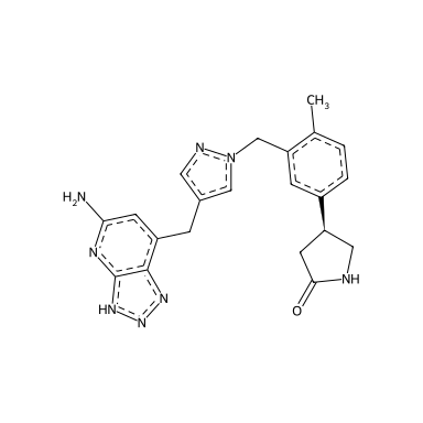 Cc1ccc([C@H]2CNC(=O)C2)cc1Cn1cc(Cc2cc(N)nc3[nH]nnc23)cn1